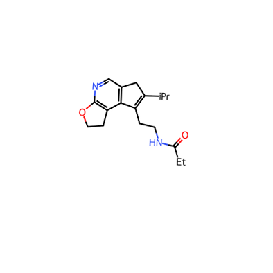 CCC(=O)NCCC1=C(C(C)C)Cc2cnc3c(c21)CCO3